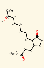 CCCCCC(=O)CCC1CCC(=O)C1CCCCCCC(=O)OC